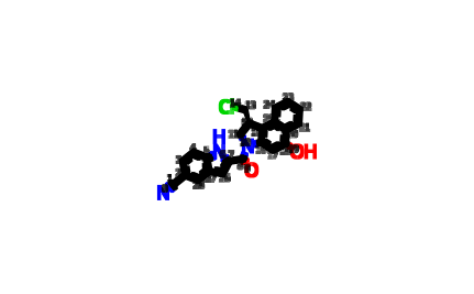 N#Cc1ccc2[nH]c(C(=O)N3C[C@@H](CCl)c4c3cc(O)c3ccccc43)cc2c1